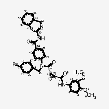 COc1ccc(NC(=O)[C@H]2O[C@@H]2C(=O)N(Cc2ccc(F)cc2)c2ccc(C(=O)NC3=NCc4ccccc4S3)cc2)cc1OC